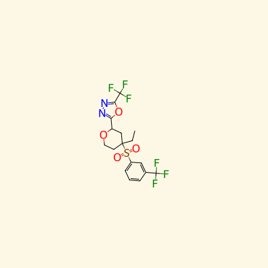 CCC1(S(=O)(=O)c2cccc(C(F)(F)F)c2)CCOC(c2nnc(C(F)(F)F)o2)C1